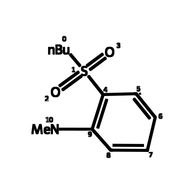 CCCCS(=O)(=O)c1[c]cccc1NC